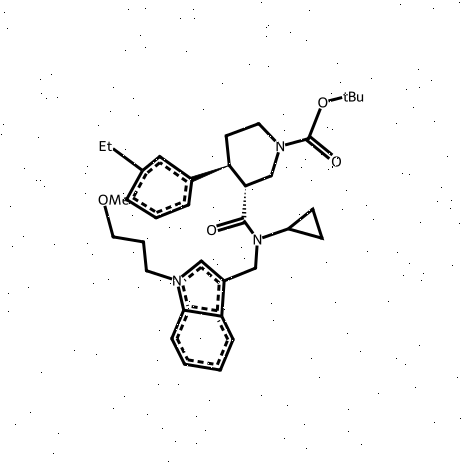 CCc1cccc([C@H]2CCN(C(=O)OC(C)(C)C)C[C@@H]2C(=O)N(Cc2cn(CCCOC)c3ccccc23)C2CC2)c1